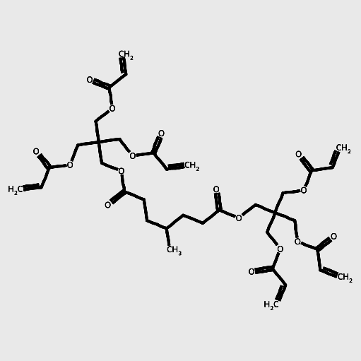 C=CC(=O)OCC(COC(=O)C=C)(COC(=O)C=C)COC(=O)CCC(C)CCC(=O)OCC(COC(=O)C=C)(COC(=O)C=C)COC(=O)C=C